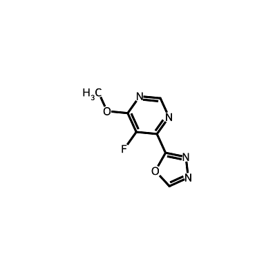 COc1ncnc(-c2nnco2)c1F